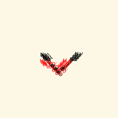 O.O.O.O.O.O.O.O.O.O.O.O.[Na+].[Na+].[Na+].[Na+].[Na+].[Na+].[Na+].[Na+].[Na+].[Na+].[Na+].[Na+].[O-]B([O-])[O-].[O-]B([O-])[O-].[O-]B([O-])[O-].[O-]B([O-])[O-]